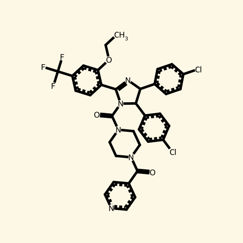 CCOc1cc(C(F)(F)F)ccc1C1=NC(c2ccc(Cl)cc2)C(c2ccc(Cl)cc2)N1C(=O)N1CCN(C(=O)c2ccncc2)CC1